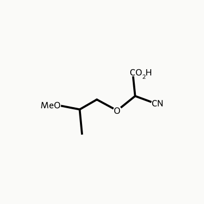 COC(C)COC(C#N)C(=O)O